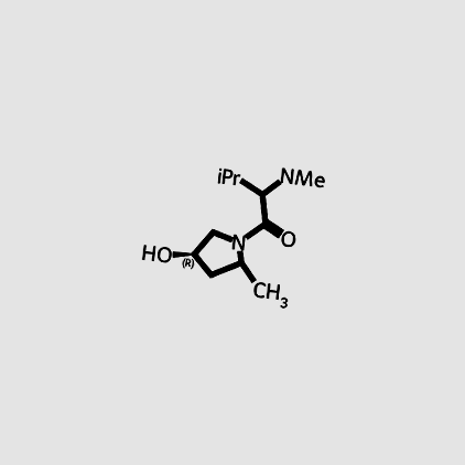 CNC(C(=O)N1C[C@H](O)CC1C)C(C)C